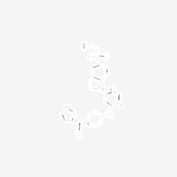 CC(C)CS(=O)(=O)c1ccc2c(c1)CCN2c1cc(OC2CCN(C(=O)n3ccnc3)CC2)ncn1